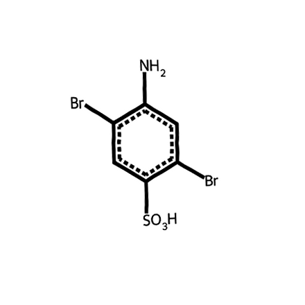 Nc1cc(Br)c(S(=O)(=O)O)cc1Br